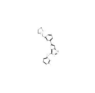 Oc1cccc(Nc2ncnc3cc(-c4cccc(CN5CCCC5)c4)sc23)c1